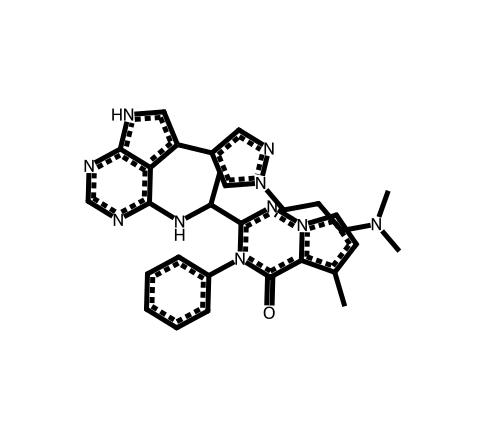 Cc1ccn2nc(C(C)Nc3ncnc4[nH]cc(-c5cnn(CCCN(C)C)c5)c34)n(-c3ccccc3)c(=O)c12